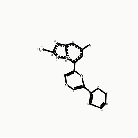 Cc1cc(C2=COC=C(C3=CC=CCC3)O2)n2nc(N)nc2c1